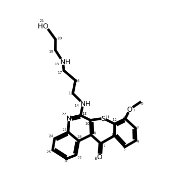 COc1cccc2c(=O)c3c(sc12)c(NCCCNCCO)nc1ccccc13